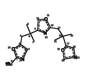 CC(C)(C)c1ncc(CC(C)(C)c2coc(CC(C)(C)c3cnco3)n2)o1